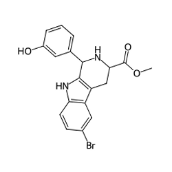 COC(=O)C1Cc2c([nH]c3ccc(Br)cc23)C(c2cccc(O)c2)N1